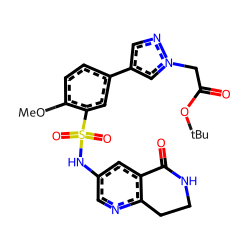 COc1ccc(-c2cnn(CC(=O)OC(C)(C)C)c2)cc1S(=O)(=O)Nc1cnc2c(c1)C(=O)NCC2